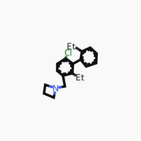 CCc1ccccc1-c1c(Cl)ccc(CN2CCC2)c1CC